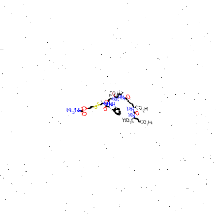 C[C@H](CCC(=O)N[C@@H](CC(=O)O)C(=O)N[C@H](Cc1ccccc1)C(=O)N[C@@H](C)CSSCCOC(N)=O)NC(=O)CC[C@H](NC(=O)N[C@@H](CCC(=O)O)C(=O)O)C(=O)O